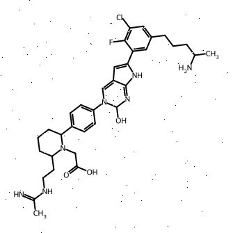 CC(=N)NCCC1CCCC(c2ccc(N3C=c4cc(-c5cc(CCCC(C)N)cc(Cl)c5F)[nH]c4=NC3O)cc2)N1CC(=O)O